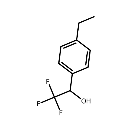 CCc1ccc(C(O)C(F)(F)F)cc1